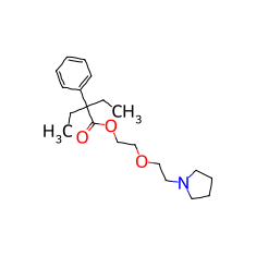 CCC(CC)(C(=O)OCCOCCN1CCCC1)c1ccccc1